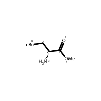 CCCCC[C@@H](N)C(=O)OC